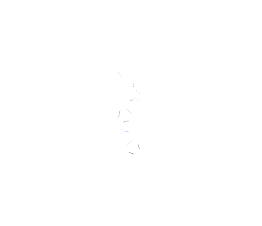 C=CC[C@@H]1C(=O)NN=C(c2ccc3nc(-c4ccccc4)oc3c2)[C@@H]1C